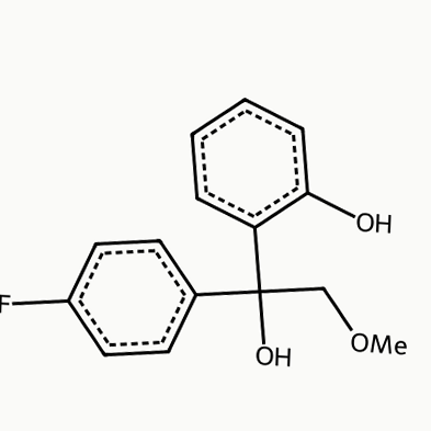 COCC(O)(c1ccc(F)cc1)c1ccccc1O